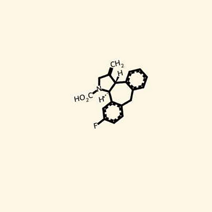 C=C1CN(C(=O)O)[C@@H]2c3cc(F)ccc3Cc3ccccc3[C@@H]12